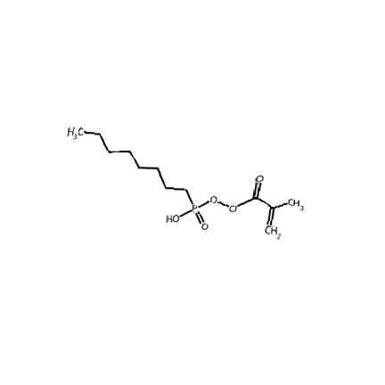 C=C(C)C(=O)OOP(=O)(O)CCCCCCCC